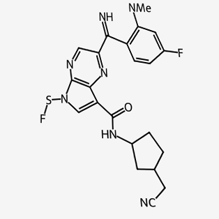 CNc1cc(F)ccc1C(=N)c1cnc2c(n1)c(C(=O)NC1CCC(CC#N)C1)cn2SF